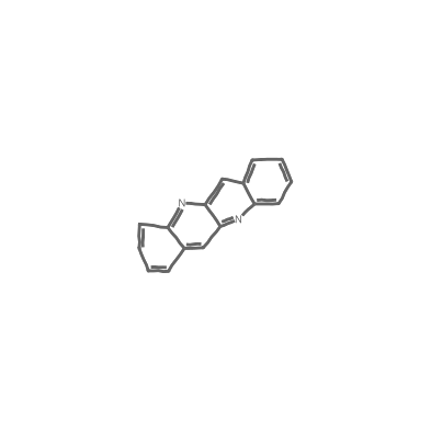 c1ccc2nc3cc4ccccc4nc3cc2c1